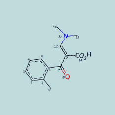 Cc1ccccc1C(=O)C(=CN(C)C)C(=O)O